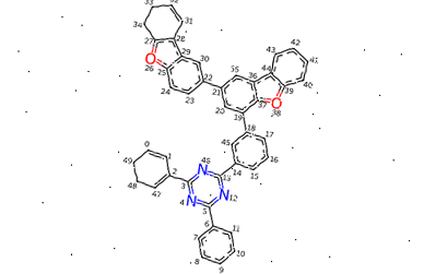 C1=CC(c2nc(-c3ccccc3)nc(-c3cccc(-c4cc(-c5ccc6oc7c(c6c5)C=CCC7)cc5c4oc4ccccc45)c3)n2)=CCC1